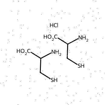 Cl.NC(CS)C(=O)O.NC(CS)C(=O)O